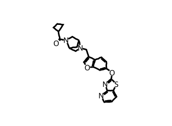 O=C(C1CCC1)N1CC2CC1CN2Cc1coc2cc(Oc3nc4ncccc4s3)ccc12